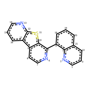 c1cnc2c(-c3nccc4c3sc3ncccc34)cccc2c1